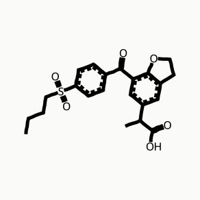 CCCCS(=O)(=O)c1ccc(C(=O)c2cc(C(C)C(=O)O)cc3c2OCC3)cc1